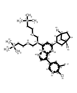 C[Si](C)(C)CCOCN(COCC[Si](C)(C)C)c1cc([C@H]2C[C@@H]3CC[C@@H](C3)C2)nc2c(-c3cnc(Cl)c(F)c3)cnn12